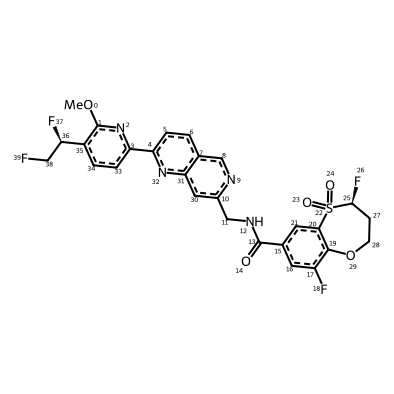 COc1nc(-c2ccc3cnc(CNC(=O)c4cc(F)c5c(c4)S(=O)(=O)[C@@H](F)CCO5)cc3n2)ccc1[C@H](F)CF